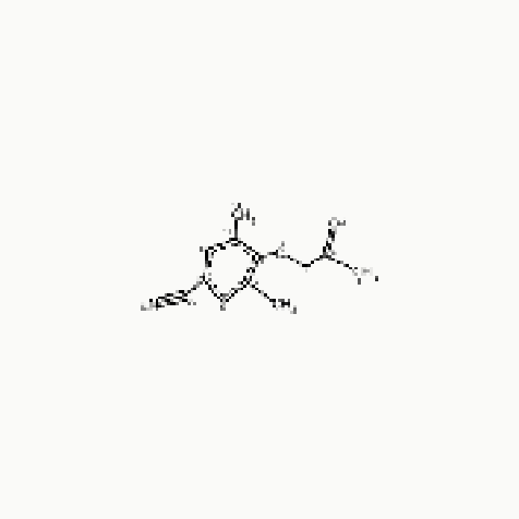 CC(=O)COc1c(C)cc(C#N)cc1C